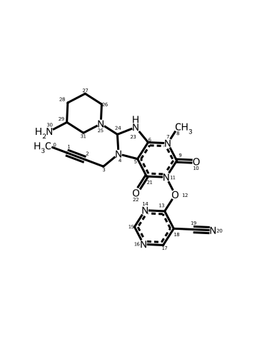 CC#CCN1c2c(n(C)c(=O)n(Oc3ncncc3C#N)c2=O)NC1N1CCCC(N)C1